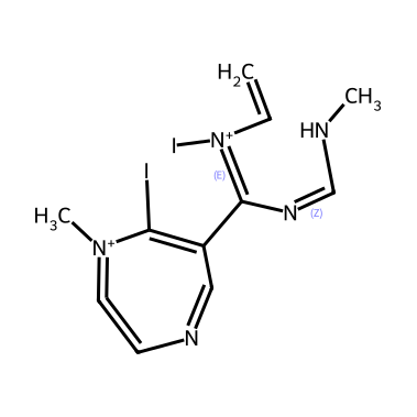 C=C/[N+](I)=C(\N=C/NC)C1=C(I)[N+](C)=C=CN=C1